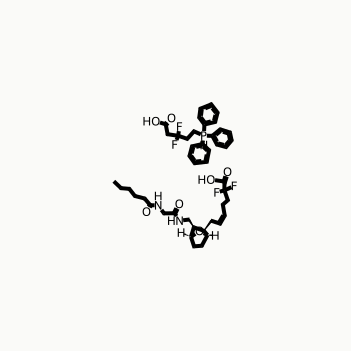 CCCCCC(=O)NCC(=O)NC[C@H]1[C@@H](C/C=C\CCC(F)(F)C(=O)O)[C@H]2CC[C@@H]1O2.O=C(O)CC(F)(F)CC[PH](c1ccccc1)(c1ccccc1)c1ccccc1